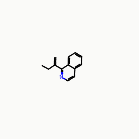 C=C(CC)c1nccc2ccccc12